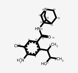 CC(O)C(C)c1cc(N)c(Cl)cc1C(=O)NC1CN2CCC1CC2